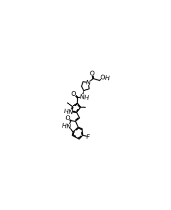 Cc1[nH]c(/C=C2\C(=O)Nc3ccc(F)cc32)c(C)c1C(=O)N[C@H]1CCN(C(=O)CO)C1